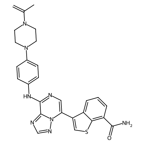 C=C(C)N1CCN(c2ccc(Nc3ncc(-c4csc5c(C(N)=O)cccc45)n4ncnc34)cc2)CC1